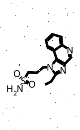 CCc1nc2cnc3ccccc3c2n1CCCS(N)(=O)=O